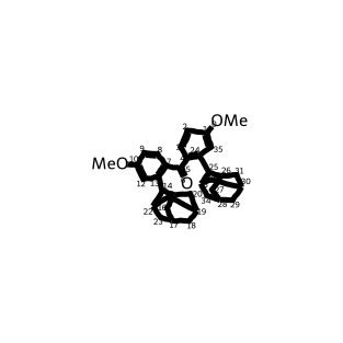 COc1ccc(C(=O)c2ccc(OC)cc2C2C3CC4CC(C3)CC2C4)c(C2C3CC4CC(C3)CC2C4)c1